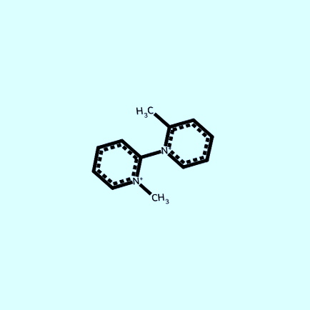 Cc1cccc[n+]1-c1cccc[n+]1C